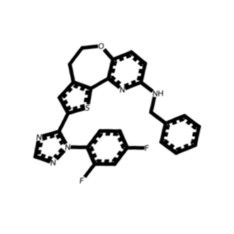 Fc1ccc(-n2ncnc2-c2cc3c(s2)-c2nc(NCc4ccccc4)ccc2OCC3)c(F)c1